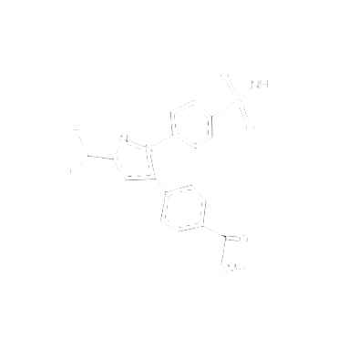 COC(=O)c1ccc(-c2cc(C(F)F)nn2-c2ccc(S(N)(=O)=O)cc2)cc1